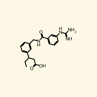 CCC(CC(=O)O)c1cccc(CNC(=O)c2cccc(NC(=N)N)c2)c1